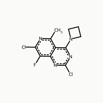 Cc1nc(Cl)c(F)c2nc(Cl)nc(N3CCC3)c12